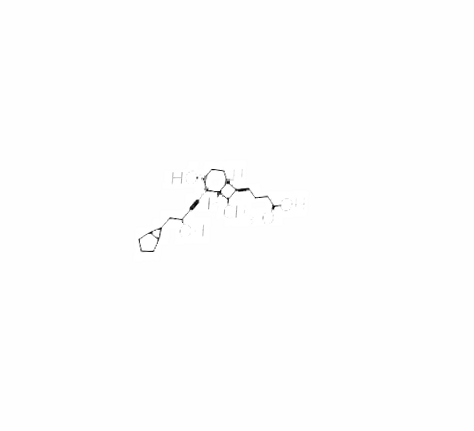 CC1C(=CCCC(=O)O)[C@H]2CC[C@@H](O)[C@H](C#CC(O)CC3C4CCCC43)[C@@H]12